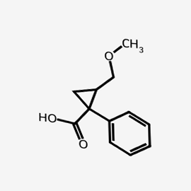 COCC1CC1(C(=O)O)c1ccccc1